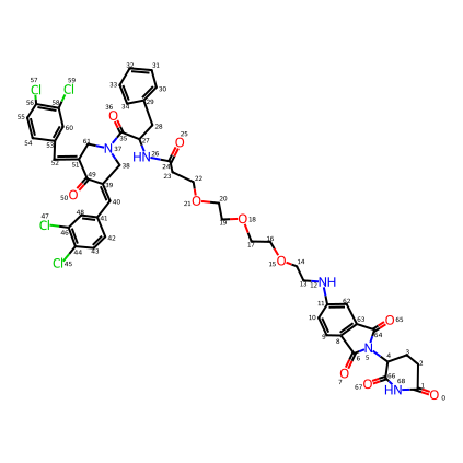 O=C1CCC(N2C(=O)c3ccc(NCCOCCOCCOCCC(=O)NC(Cc4ccccc4)C(=O)N4CC(=Cc5ccc(Cl)c(Cl)c5)C(=O)C(=Cc5ccc(Cl)c(Cl)c5)C4)cc3C2=O)C(=O)N1